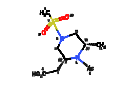 CC(=O)N1[C@H](CC(=O)O)CN(S(C)(=O)=O)C[C@@H]1C